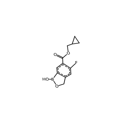 O=C(OCC1CC1)c1cc2c(cc1F)COB2O